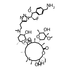 CC[C@H]1OC(=O)[C@H](C)[C@@H](C2C[C@@](C)(OC)[C@@H](O)[C@H](C)O2)[C@H](C)[C@@H](O[C@@H]2O[C@H](C)C[C@H](N(C)CCc3cn([C@H](CF)[C@H](OC)c4ccc(CN)cc4)nn3)[C@H]2O)[C@](C)(O)C[C@@H](C)CN(C)[C@H](C)[C@@H](O)[C@]1(C)O